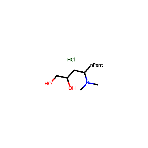 CCCCCC(CC(O)CO)N(C)C.Cl